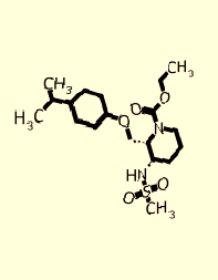 CCOC(=O)N1CCC[C@H](NS(C)(=O)=O)[C@@H]1COC1CCC(C(C)C)CC1